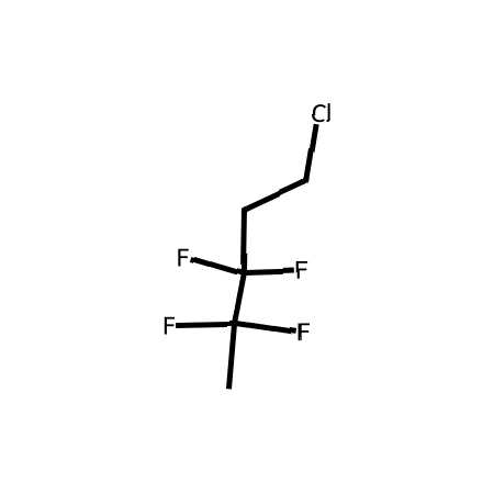 CC(F)(F)C(F)(F)CCCl